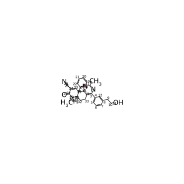 Cc1nc(-c2cccc(CCO)c2)c2c(n1)[C@@]1(c3ccccc3)C=C(C#N)C(=O)[C@@H](C)[C@@H]1CC2